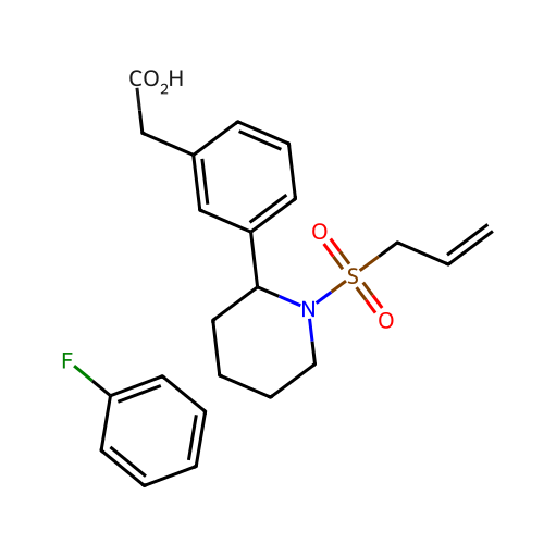 C=CCS(=O)(=O)N1CCCCC1c1cccc(CC(=O)O)c1.Fc1ccccc1